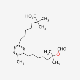 Cc1ccc(CCCCCC(C)(C)C(=O)O)cc1CCCCCC(C)(C)OC=O